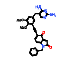 COc1cc(Cc2cnc(N)nc2N)cc(C#CC2=CC=C3C(=CC(=O)N3Cc3ccccc3)C2=O)c1OC